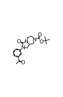 CC(=O)c1cccc(N2CC3CN(C(=O)OC(C)(C)C)CCN3C2=O)c1